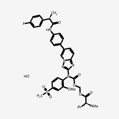 CN[C@H](C(=O)OCOC(=O)N(c1nc2ccc(-c3ccc(NC(=O)[C@H](C)c4ccc(F)cc4)cc3)cn2n1)c1ccc(S(C)(=O)=O)cc1OC)C(C)C.Cl